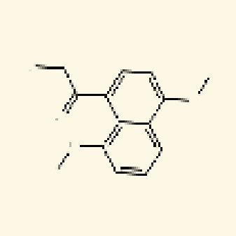 COc1ccc(C(=O)CCl)c2c(OC)cccc12